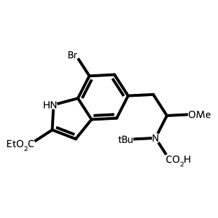 CCOC(=O)c1cc2cc(CC(OC)N(C(=O)O)C(C)(C)C)cc(Br)c2[nH]1